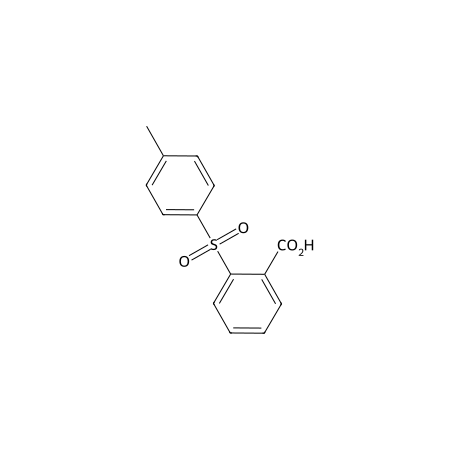 Cc1ccc(S(=O)(=O)c2ccccc2C(=O)O)cc1